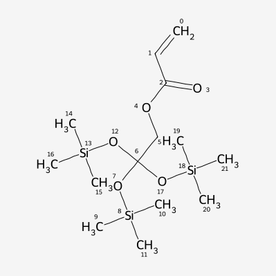 C=CC(=O)OCC(O[Si](C)(C)C)(O[Si](C)(C)C)O[Si](C)(C)C